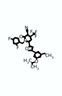 CCc1cc(OC(C)C)cc(-c2coc(-c3cc(C(F)(F)F)c(C#N)c(=O)n3Cc3ccc(F)cc3F)c2)c1